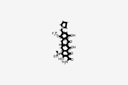 CCN(C)[C@@H]1C(O)=C(C(N)=O)C(=O)C2C(O)=C3C(=O)c4c(O)cc(CN5CCCC5)c(OC(F)(F)F)c4C[C@H]3CC21